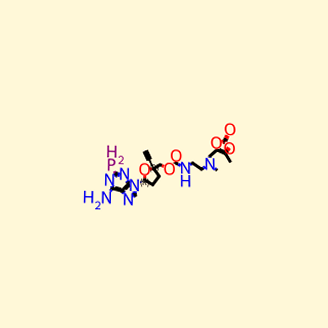 C#C[C@@]1(COC(=O)NCCN(C)Cc2oc(=O)oc2C)CC[C@H](n2cnc3c(N)nc(P)nc32)O1